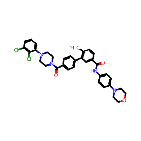 Cc1ccc(C(=O)Nc2ccc(N3CCOCC3)cc2)cc1-c1ccc(C(=O)N2CCN(c3cccc(Cl)c3Cl)CC2)cc1